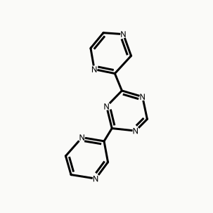 c1cnc(-c2ncnc(-c3cnccn3)n2)cn1